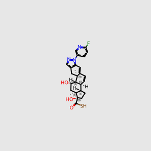 C[C@]12Cc3cnn(-c4ccc(F)nc4)c3C=C1C=C[C@@H]1[C@@H]2[C@@H](O)C[C@@]2(C)[C@H]1CC[C@]2(O)C(=O)S